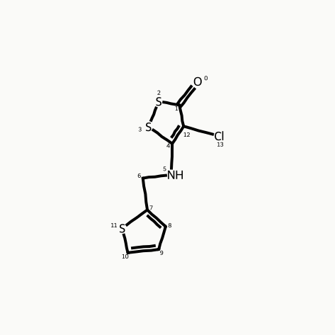 O=c1ssc(NCc2cccs2)c1Cl